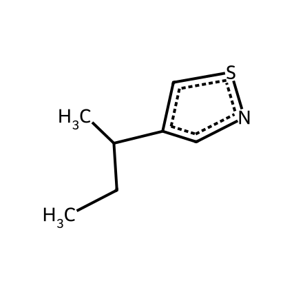 CCC(C)c1cnsc1